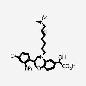 CCCc1cc(Cl)ccc1C1COc2ccc(C(O)C(=O)O)cc2N(CCCC/C=C/CN(C)C(C)=O)C1